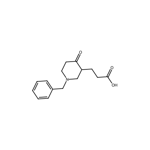 O=C(O)CCC1CN(Cc2ccccc2)CCC1=O